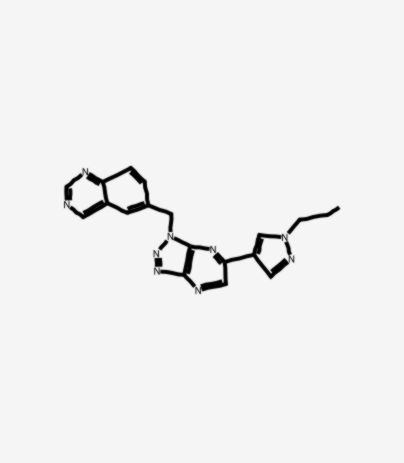 CCCn1cc(-c2cnc3nnn(Cc4ccc5ncncc5c4)c3n2)cn1